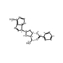 Nc1ncnc2c1ncn2[C@H]1C[C@H](OC(=O)c2ccccc2)[C@@H](CO)O1